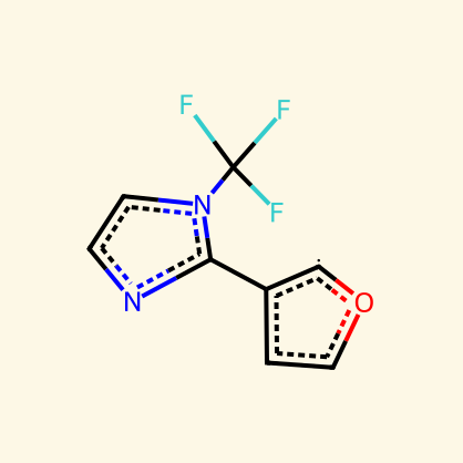 FC(F)(F)n1ccnc1-c1[c]occ1